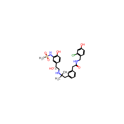 CC(C)(Cc1cccc(CC(=O)NCc2ccc(O)cc2Cl)c1)NC[C@H](O)c1ccc(O)c(NS(C)(=O)=O)c1